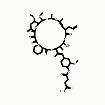 C=CCC1/C=C(\C)CC(C)CC(OC)C2OC(O)(C(=O)C(=O)N3CCCCC3C(=O)OC(C(C)=CC3CCC(OC(=O)CCC(=O)O)C(OC)C3)C(C)C(O)CC1=O)C(C)CC2OC